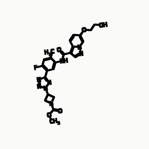 COC(=O)N1CC(n2nnc(-c3cc(NC(=O)c4cnn5cc(OCCO)ccc45)c(C)cc3F)n2)C1